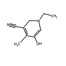 CCN1C=C(O)C(C)=C(C#N)C1